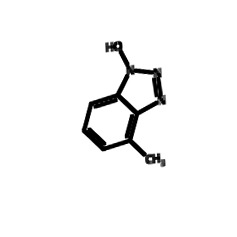 Cc1cccc2c1nnn2O